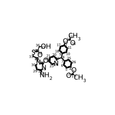 CC(=O)Oc1ccc(C(c2ccc(OC(C)=O)cc2)c2ccccn2)cc1.Nc1ccn([C@H]2CS[C@@H](CO)O2)c(=O)n1